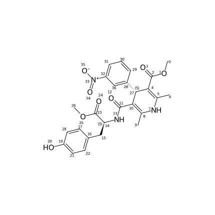 COC(=O)C1=C(C)NC(C)=C(C(=O)N[C@@H](Cc2ccc(O)cc2)C(=O)OC)[C@@H]1c1cccc([N+](=O)[O-])c1